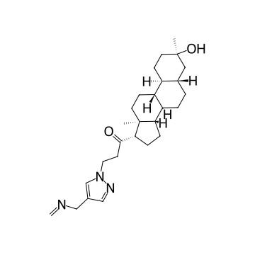 C=NCc1cnn(CCC(=O)[C@H]2CC[C@H]3[C@@H]4CC[C@H]5C[C@](C)(O)CC[C@@H]5[C@H]4CC[C@]23C)c1